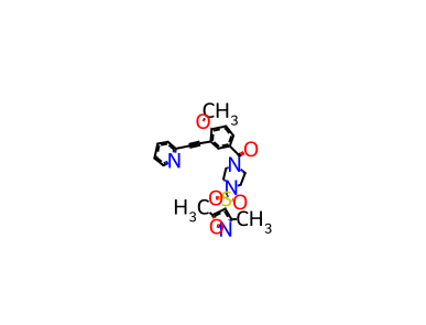 COc1ccc(C(=O)N2CCN(S(=O)(=O)c3c(C)noc3C)CC2)cc1C#Cc1ccccn1